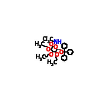 C=CCO[C@@H]1[C@H](OCC=C)[C@@H](OCC=C)C(OC(=N)C(Cl)(Cl)Cl)O[C@@H]1COC(c1ccccc1)(c1ccccc1)c1ccccc1